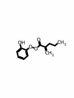 C=C(CCC)C(=O)OOc1ccccc1O